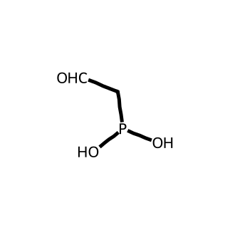 O=CCP(O)O